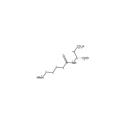 CCCCCCCCCCCCCC(=O)N[C@@H]([C]=O)CC(=O)O